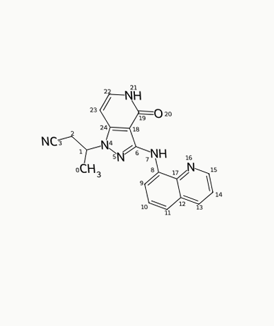 CC(CC#N)n1nc(Nc2cccc3cccnc23)c2c(=O)[nH]ccc21